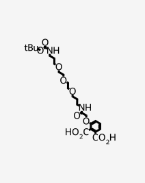 CC(C)(C)OC(=O)NCCCOCCOCCOCCCNC(=O)COc1cccc(C(=O)O)c1C(=O)O